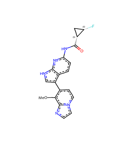 COc1c(-c2c[nH]c3nc(NC(=O)[C@@H]4C[C@@H]4F)ccc23)ccn2ccnc12